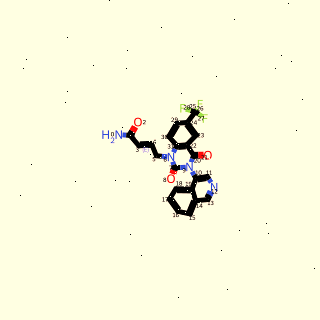 NC(=O)/C=C/Cn1c(=O)n(-c2cncc3ccccc23)c(=O)c2cc(C(F)(F)F)ccc21